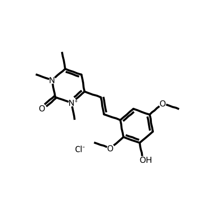 COc1cc(O)c(OC)c(C=Cc2cc(C)n(C)c(=O)[n+]2C)c1.[Cl-]